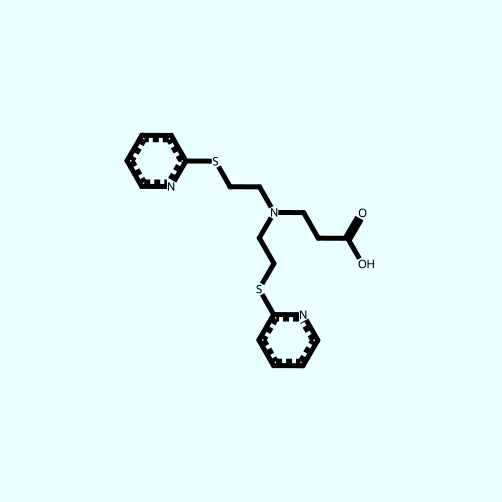 O=C(O)CCN(CCSc1ccccn1)CCSc1ccccn1